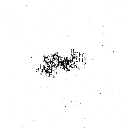 CC(C)[C@H](N)C(=O)N[C@H](C(=O)N(C)[C@](C)(C(=O)N1CCC[C@H]1C(=O)N1CCC[C@H]1C(=O)NC(C)(C)C)C(C)(C)C)C(C)C